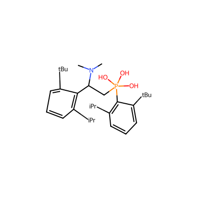 CC(C)c1cccc(C(C)(C)C)c1C(CP(O)(O)(O)c1c(C(C)C)cccc1C(C)(C)C)N(C)C